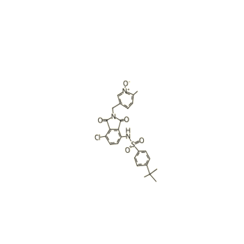 Cc1ccc(CN2C(=O)c3c(Cl)ccc(NS(=O)(=O)c4ccc(C(C)(C)C)cc4)c3C2=O)c[n+]1[O-]